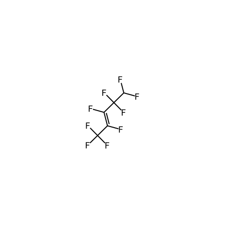 FC(=C(F)C(F)(F)C(F)F)C(F)(F)F